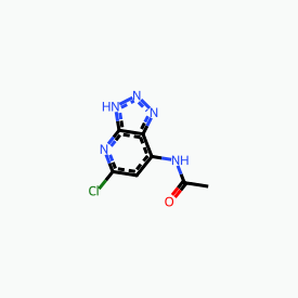 CC(=O)Nc1cc(Cl)nc2[nH]nnc12